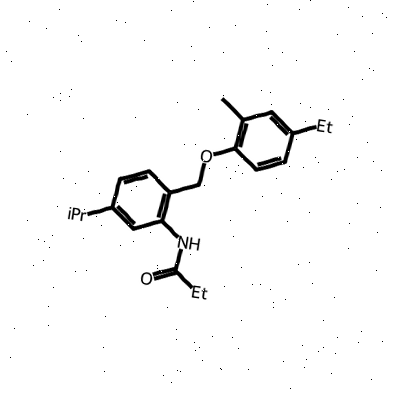 CCC(=O)Nc1cc(C(C)C)ccc1COc1ccc(CC)cc1C